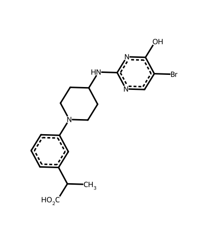 CC(C(=O)O)c1cccc(N2CCC(Nc3ncc(Br)c(O)n3)CC2)c1